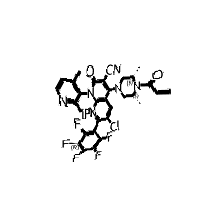 C=CC(=O)N1[C@H](C)CN(c2c(C#N)c(=O)n(-c3c(C)ccnc3C(C)C)c3nc(C4=C(F)[C@H](F)C(F)C(F)=C4F)c(Cl)cc23)C[C@@H]1C